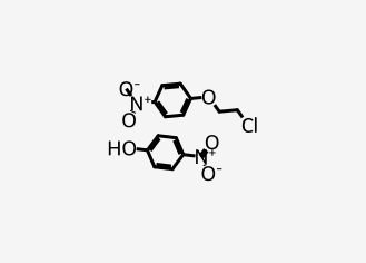 O=[N+]([O-])c1ccc(O)cc1.O=[N+]([O-])c1ccc(OCCCl)cc1